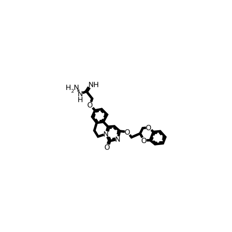 N=C(COc1ccc2c(c1)CCn1c-2cc(OCC2COc3ccccc3O2)nc1=O)NN